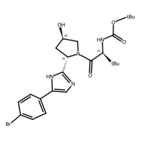 CC(C)(C)OC(=O)N[C@H](C(=O)N1C[C@H](O)C[C@H]1c1ncc(-c2ccc(Br)cc2)[nH]1)C(C)(C)C